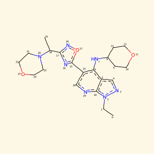 CCn1ncc2c(NC3CCOCC3)c(-c3nc(C(C)N4CCOCC4)no3)cnc21